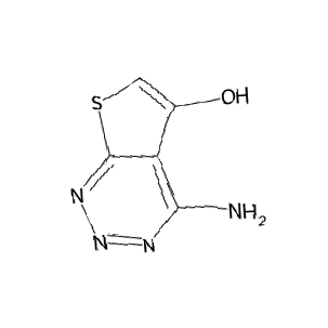 Nc1nnnc2scc(O)c12